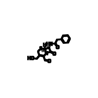 O=CC1=C(CO)CS[C@@H]2[C@H](NC(=O)Cc3ccccc3)C(=O)N12